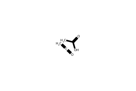 C=C=O.CC(=O)O